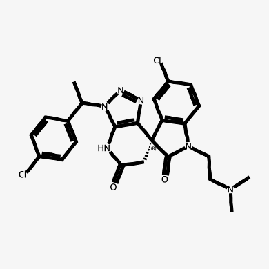 CC(c1ccc(Cl)cc1)n1nnc2c1NC(=O)C[C@]21C(=O)N(CCN(C)C)c2ccc(Cl)cc21